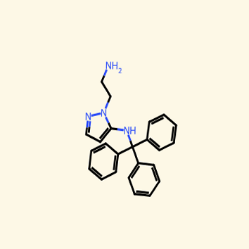 NCCn1nccc1NC(c1ccccc1)(c1ccccc1)c1ccccc1